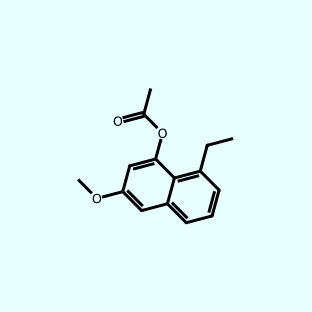 CCc1cccc2cc(OC)cc(OC(C)=O)c12